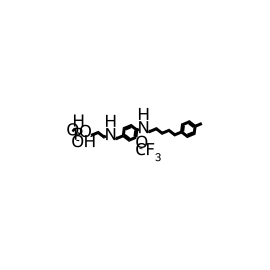 Cc1ccc(CCCCCNc2ccc(CNCCCO[PH](=O)O)cc2OC(F)(F)F)cc1